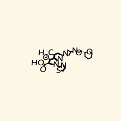 Cc1cc(N2CC(=NOC[C@H]3CCCCO3)C2)nc2c1c(=O)c(C(=O)O)cn2-c1nccs1